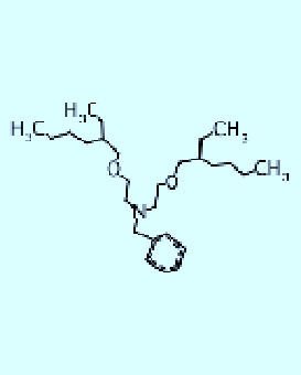 CCCCC(CC)COCCN(CCOCC(CC)CCCC)Cc1ccccc1